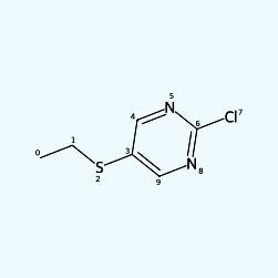 CCSc1cnc(Cl)nc1